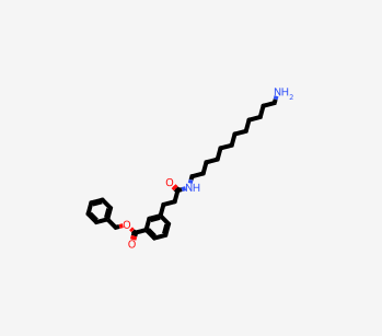 NCCCCCCCCCCCCNC(=O)CCc1cccc(C(=O)OCc2ccccc2)c1